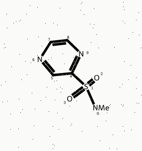 CNS(=O)(=O)c1cnccn1